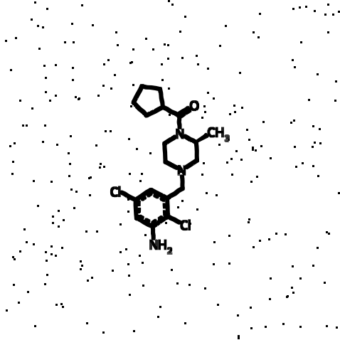 C[C@H]1CN(Cc2cc(Cl)cc(N)c2Cl)CCN1C(=O)C1CCCC1